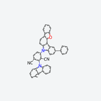 N#Cc1ccc(-n2c3ccc(-c4ccccc4)cc3c3c4oc5ccccc5c4ccc32)c(C#N)c1-n1c2ccccc2c2ccccc21